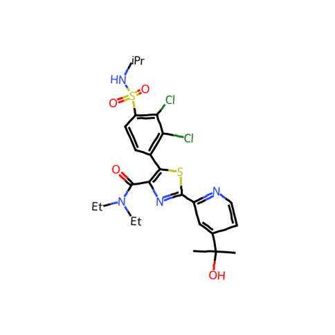 CCN(CC)C(=O)c1nc(-c2cc(C(C)(C)O)ccn2)sc1-c1ccc(S(=O)(=O)NC(C)C)c(Cl)c1Cl